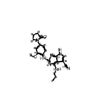 CCCNc1nc(Nc2ccc(N3CCCC3=O)cc2OC)nc2[nH]cc(C#N)c12